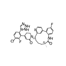 C[C@@H]1CCC[C@H](N2CCC(c3c(N4C=NNN4)ccc(Cl)c3F)=CC2=O)c2cc(ccn2)-c2cc(F)ccc2NC1=O